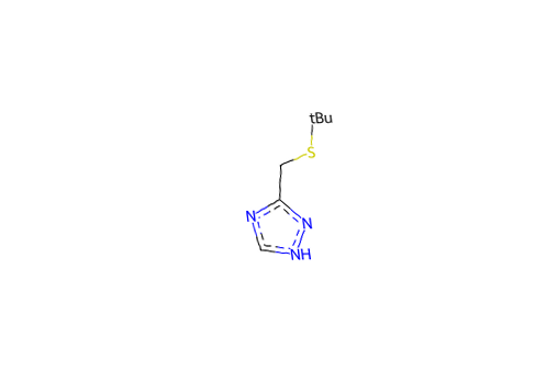 CC(C)(C)SCc1nc[nH]n1